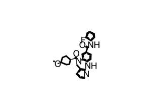 CO[C@H]1CC[C@@H](C(=O)N2Cc3cccnc3Nc3ccc(C(=O)Nc4ccccc4F)cc32)CC1